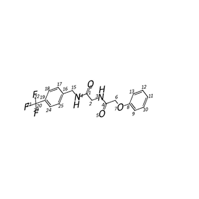 O=C(CNC(=O)COc1ccccc1)NCc1ccc(C(F)(F)F)cc1